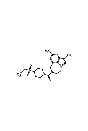 Cc1cc2c3c(c1)c(C)cn3CCN(C(=O)N1CCC(S(=O)(=O)CC3CS3)CC1)C2